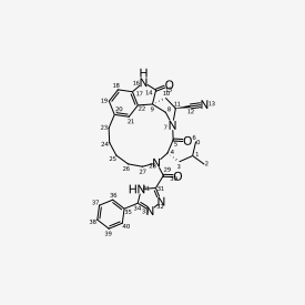 CC(C)C[C@H]1C(=O)N2C[C@]3(C[C@H]2C#N)C(=O)Nc2ccc(cc23)CCCCCN1C(=O)c1nnc(-c2ccccc2)[nH]1